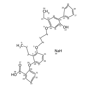 CCCc1c(OCCCOc2cc(O)c(-c3ccccc3)cc2CC)cccc1Oc1ccccc1C(=O)O.[NaH]